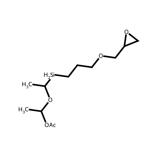 CC(=O)OC(C)OC(C)[SiH2]CCCOCC1CO1